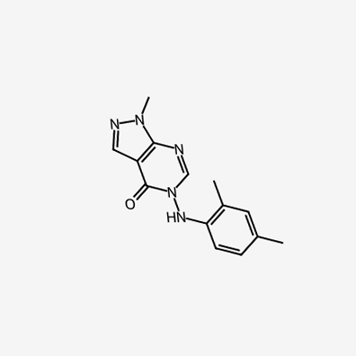 Cc1ccc(Nn2cnc3c(cnn3C)c2=O)c(C)c1